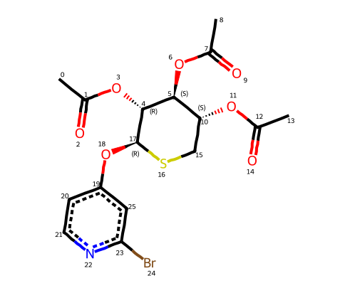 CC(=O)O[C@@H]1[C@@H](OC(C)=O)[C@H](OC(C)=O)CS[C@H]1Oc1ccnc(Br)c1